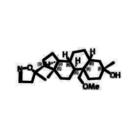 COC[C@]12CC[C@@](C)(O)C[C@H]1CC[C@H]1[C@@H]3CC[C@H](C4(C)CC=NO4)[C@@]3(C)CC[C@@H]12